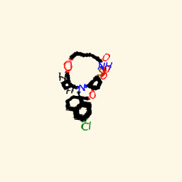 O=C1CC/C=C/COC[C@@H]2CC[C@H]2CN2C[C@@]3(CCCc4cc(Cl)ccc43)COc3ccc(cc32)S(=O)(=O)N1